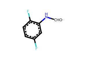 O=[C]Nc1cc(F)ccc1F